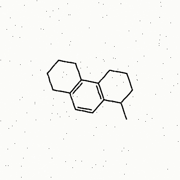 CC1CCCc2c1ccc1c2CCCC1